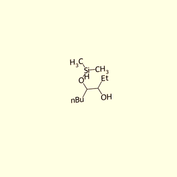 CCCCC(O[SiH](C)C)C(O)CC